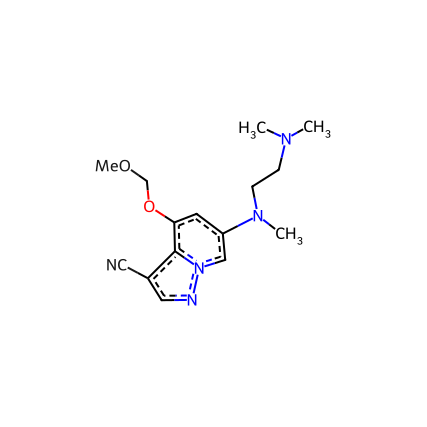 COCOc1cc(N(C)CCN(C)C)cn2ncc(C#N)c12